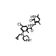 Cc1cc(C)c(CNC(=O)c2cc(Cl)cc(N(CC3CC3)C3CCNCC3)c2C)c(=O)[nH]1